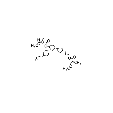 C=C(COC)C(=O)OCCCc1ccc(-c2ccc(OC(=O)C(=C)COC)c(C3CC=C(CCC)CC3)c2)cc1